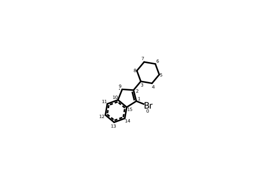 BrC1=C(C2CCCCC2)[CH]c2ccccc21